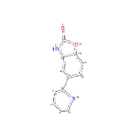 O=c1[nH]c2cc(-c3ccccn3)ccc2o1